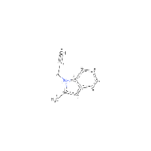 C#CCn1c(C)[c]c2ccccc21